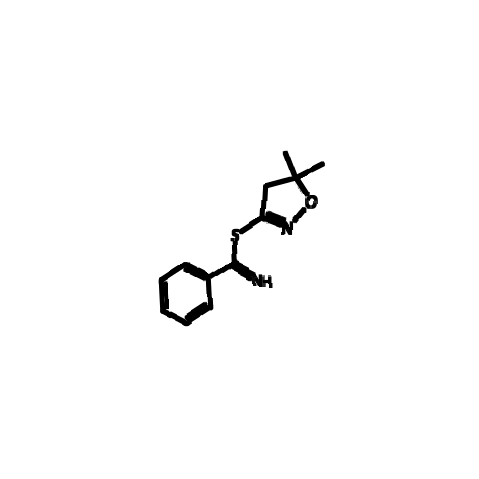 CC1(C)CC(SC(=N)c2ccccc2)=NO1